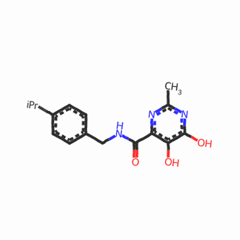 Cc1nc(O)c(O)c(C(=O)NCc2ccc(C(C)C)cc2)n1